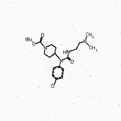 CN(C)CCNC(=O)N(c1ccc(Cl)cc1)C1CCN(C(=O)OC(C)(C)C)CC1